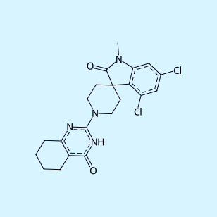 CN1C(=O)C2(CCN(c3nc4c(c(=O)[nH]3)CCCC4)CC2)c2c(Cl)cc(Cl)cc21